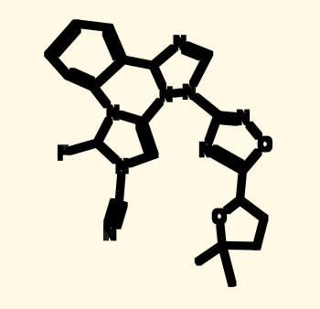 CC1(C)CCC(c2nc(N3C=NC4c5ccccc5N5C(=CN(C#N)C5F)N43)no2)O1